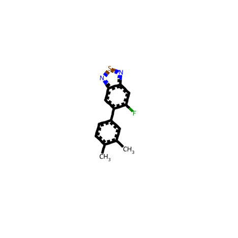 Cc1ccc(-c2cc3nsnc3cc2F)cc1C